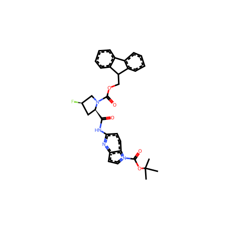 CC(C)(C)OC(=O)n1ccc2nc(NC(=O)[C@H]3C[C@@H](F)CN3C(=O)OCC3c4ccccc4-c4ccccc43)ccc21